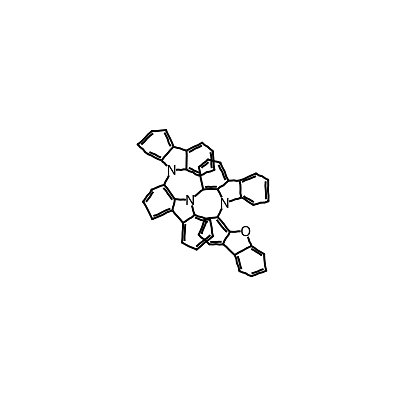 c1ccc2c(c1)oc1c(-n3c4ccccc4c4cccc(-n5c6ccccc6c6cccc(-n7c8ccccc8c8ccccc87)c65)c43)cccc12